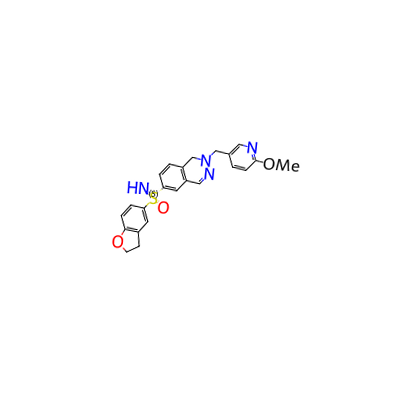 COc1ccc(CN2Cc3ccc([S@](=N)(=O)c4ccc5c(c4)CCO5)cc3C=N2)cn1